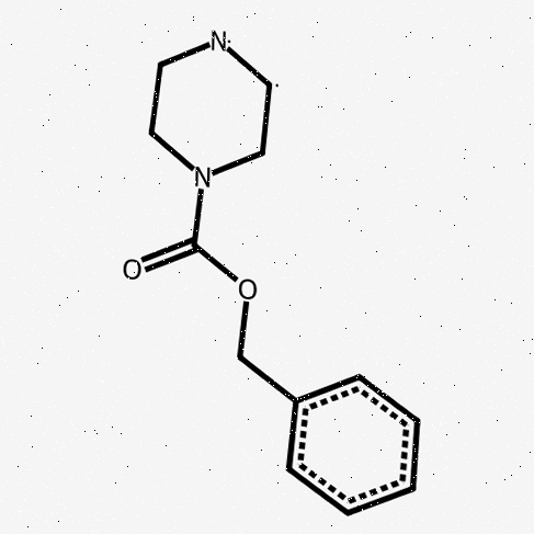 O=C(OCc1ccccc1)N1C[CH][N]CC1